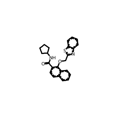 O=C(NC1CCCC1)c1ccc2ccccc2c1OCc1nc2ccccc2s1